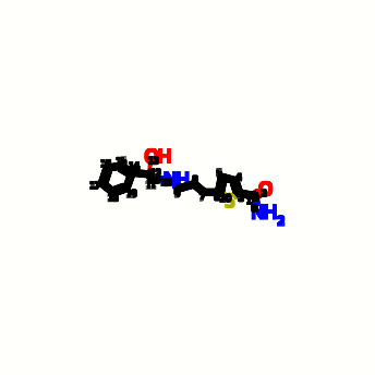 NC(=O)c1ccc(CCCNC[C@@H](O)c2ccccc2)s1